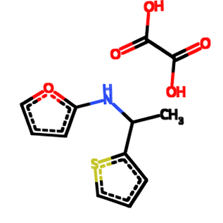 CC(Nc1ccco1)c1cccs1.O=C(O)C(=O)O